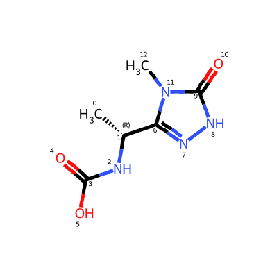 C[C@@H](NC(=O)O)c1n[nH]c(=O)n1C